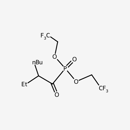 CCCCC(CC)C(=O)P(=O)(OCC(F)(F)F)OCC(F)(F)F